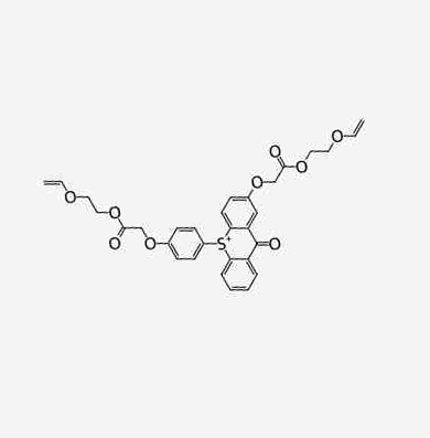 C=COCCOC(=O)COc1ccc(-[s+]2c3ccccc3c(=O)c3cc(OCC(=O)OCCOC=C)ccc32)cc1